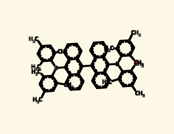 Cc1cc(C)c(B(c2c(C)cc(C)cc2C)c2c3ccccc3c(-c3c4ccccc4c(B(c4c(C)cc(C)cc4C)c4c(C)cc(C)cc4C)c4ccccc34)c3ccccc23)c(C)c1